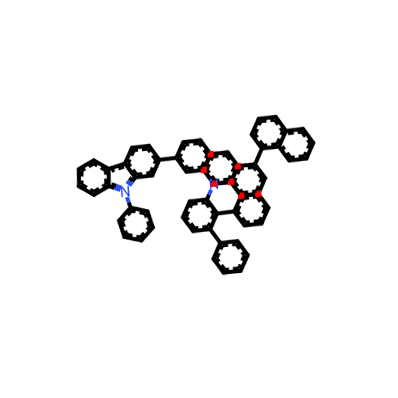 c1ccc(-c2ccccc2-c2c(-c3ccccc3)cccc2N(c2cccc(-c3ccc4c5ccccc5n(-c5ccccc5)c4c3)c2)c2cccc(-c3cccc4ccccc34)c2)cc1